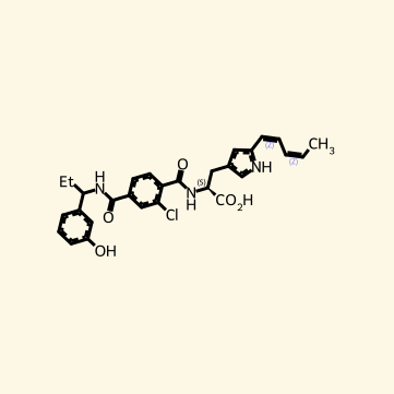 C/C=C\C=C/c1cc(C[C@H](NC(=O)c2ccc(C(=O)NC(CC)c3cccc(O)c3)cc2Cl)C(=O)O)c[nH]1